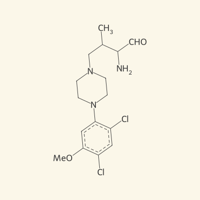 COc1cc(N2CCN(CC(C)C(N)C=O)CC2)c(Cl)cc1Cl